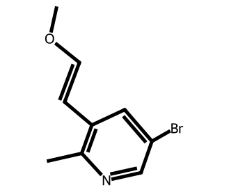 CO/C=C/c1cc(Br)cnc1C